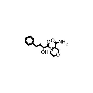 NC(=O)C1COCCN1C(=O)[C@H](O)[CH]Cc1ccccc1